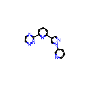 c1cncc(-n2cc(-c3cccc(-c4nccnn4)n3)cn2)c1